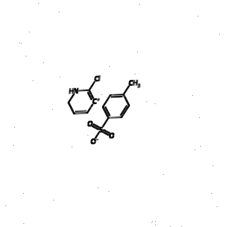 Cc1ccc(S(=O)(=O)[O-])cc1.ClC1=[C+]C=CCN1